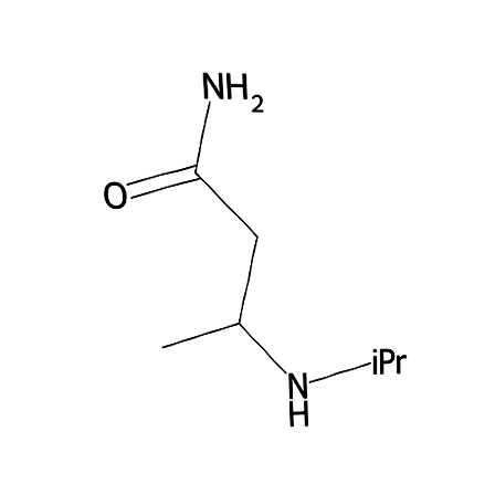 CC(C)NC(C)CC(N)=O